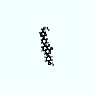 C=Cc1cnc(C2CCC(c3ccc4cc(C5CCC(C)CC5)oc(=O)c4c3F)CC2)nc1